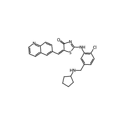 O=C1N=C(Nc2cc(CNC3CCCC3)ccc2Cl)S/C1=C/c1ccc2ncccc2c1